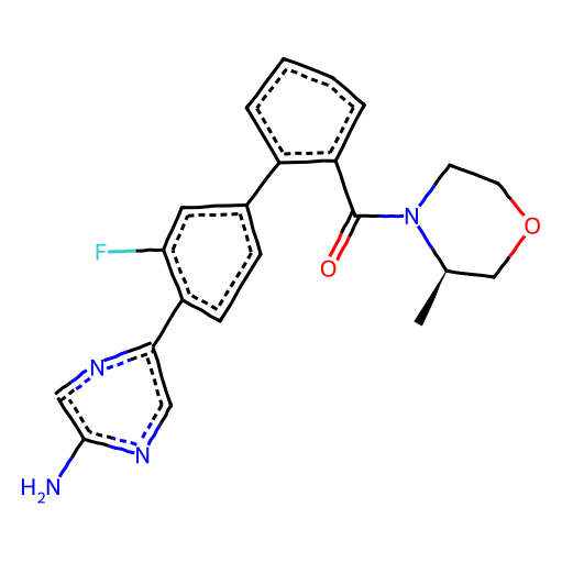 C[C@@H]1COCCN1C(=O)c1ccccc1-c1ccc(-c2cnc(N)cn2)c(F)c1